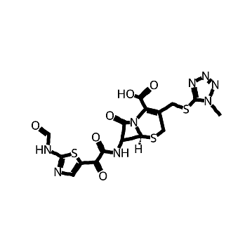 Cn1nnnc1SCC1=C(C(=O)O)N2C(=O)C(NC(=O)C(=O)c3cnc(NC=O)s3)[C@@H]2SC1